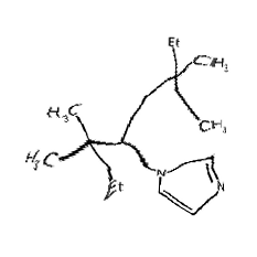 CCC(C)(C)CC(n1ccnc1)C(C)(C)CC